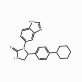 O=C1NCC(c2ccc(C3CCCCC3)cc2)N1c1ccc2[nH]cnc2c1